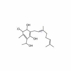 CC(C)=CCC/C(C)=C/CC1=C(O)C(C(C)O)=C(C)C(Cl)C1O